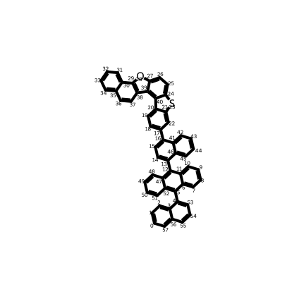 c1ccc2c(-c3c4ccccc4c(-c4ccc(-c5ccc6c(c5)sc5ccc7oc8c9ccccc9ccc8c7c56)c5ccccc45)c4ccccc34)cccc2c1